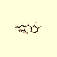 Cc1cccc(CC2=CC(=O)NC2=O)c1C